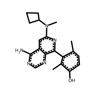 Cc1ccc(O)c(C)c1-c1nc(N(C)C2CCC2)cc2c(N)ncnc12